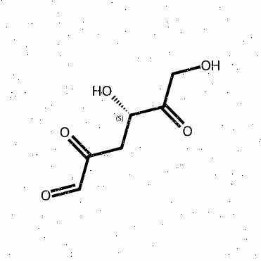 O=CC(=O)C[C@H](O)C(=O)CO